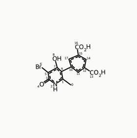 Cc1[nH]c(=O)c(Br)c(O)c1-c1cc(C(=O)O)cc(C(=O)O)c1